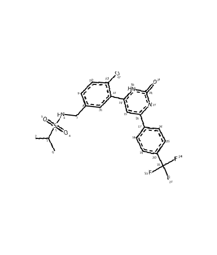 CC(C)S(=O)(=O)NCc1ccc(Cl)c(-c2cc(-c3ccc(C(F)(F)F)cc3)nc(=O)[nH]2)c1